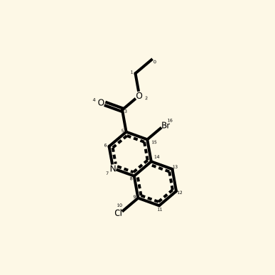 CCOC(=O)c1cnc2c(Cl)cccc2c1Br